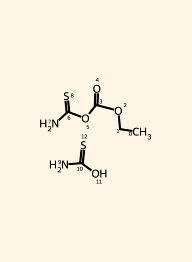 CCOC(=O)OC(N)=S.NC(O)=S